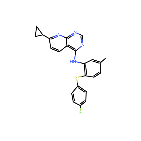 Cc1ccc(Sc2ccc(F)cc2)c(Nc2ncnc3nc(C4CC4)ccc23)c1